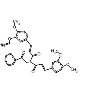 COc1ccc(/C=C/C(=O)C(CC(=O)c2ccccc2)C(=O)/C=C/c2ccc(OC)c(OC=N)c2)cc1OC